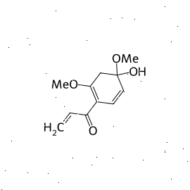 C=CC(=O)C1=C(OC)CC(O)(OC)C=C1